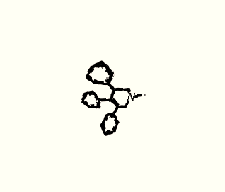 [CH2]N1CC(c2ccccc2)=C(c2ccccc2)C(c2ccccc2)C1